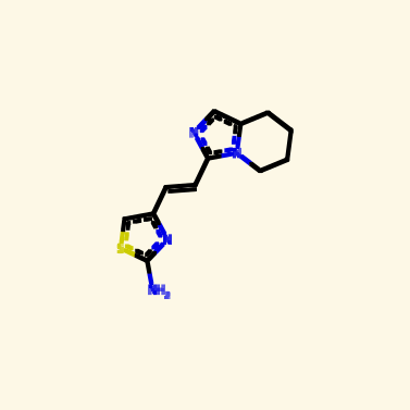 Nc1nc(C=Cc2ncc3n2CCCC3)cs1